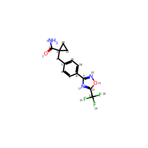 NC(=O)C1(Cc2ccc(-c3noc(C(F)(F)F)n3)cc2)CC1